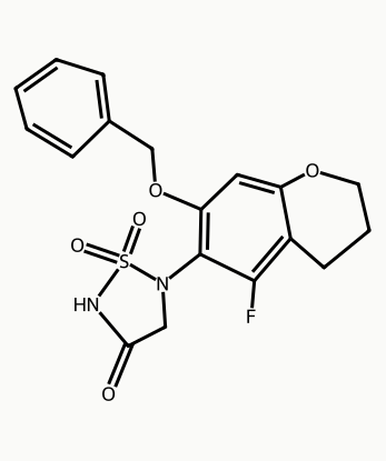 O=C1CN(c2c(OCc3ccccc3)cc3c(c2F)CCCO3)S(=O)(=O)N1